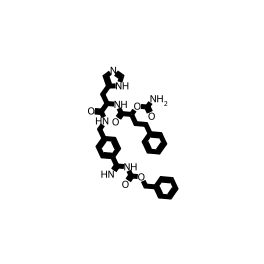 N=C(NC(=O)OCc1ccccc1)c1ccc(CNC(=O)C(Cc2cnc[nH]2)NC(=O)C(CCc2ccccc2)OC(N)=O)cc1